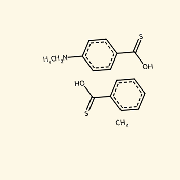 C.C.Nc1ccc(C(O)=S)cc1.OC(=S)c1ccccc1